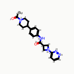 CCC(C)C(=O)N1CCC(c2ccc(NC(=O)C3CN(c4cccnn4)C3)cc2)CC1